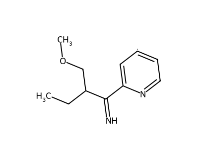 CCC(COC)C(=N)c1c[c]ccn1